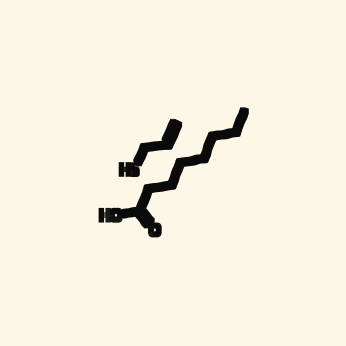 C=CCS.CCCCCCCC(=O)O